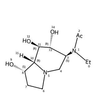 CCN(C(C)=O)[C@H]1CN2CC[C@H](O)[C@@H]2[C@@H](O)[C@@H]1O